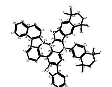 CC1(C)CCC(C)(C)c2cc(N3c4cc5c(oc6ccccc65)c5c4B(c4sc6cc7c(cc6c43)C(C)(C)CCC7(C)C)n3c4ccc6ccccc6c4c4cccc-5c43)ccc21